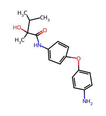 CC(C)C(C)(O)C(=O)Nc1ccc(Oc2ccc(N)cc2)cc1